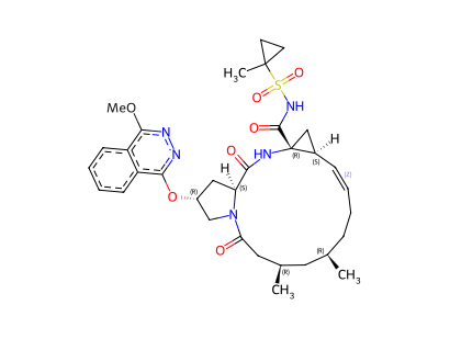 COc1nnc(O[C@@H]2C[C@H]3C(=O)N[C@]4(C(=O)NS(=O)(=O)C5(C)CC5)C[C@H]4/C=C\CC[C@@H](C)C[C@@H](C)CC(=O)N3C2)c2ccccc12